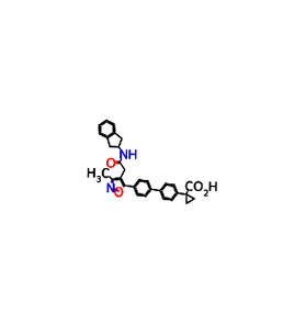 Cc1noc(-c2ccc(-c3ccc(C4(C(=O)O)CC4)cc3)cc2)c1CC(=O)NC1Cc2ccccc2C1